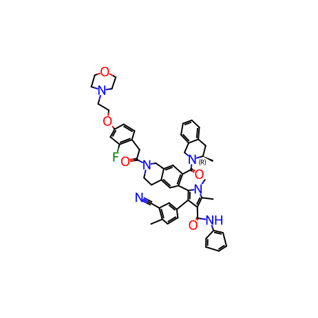 Cc1ccc(-c2c(C(=O)Nc3ccccc3)c(C)n(C)c2-c2cc3c(cc2C(=O)N2Cc4ccccc4C[C@H]2C)CN(C(=O)Cc2ccc(OCCN4CCOCC4)cc2F)CC3)cc1C#N